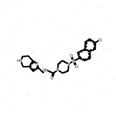 O=C(NCc1cc2c(s1)CCNC2)N1CCN(S(=O)(=O)c2ccc3cc(Cl)ccc3c2)CC1